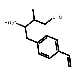 C=Cc1ccc(CC(C(=O)O)C(C)CC=O)cc1